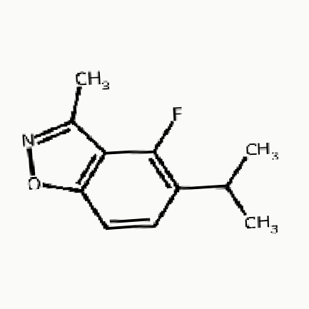 Cc1noc2ccc(C(C)C)c(F)c12